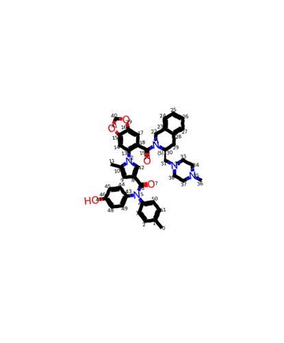 Cc1ccc(N(C(=O)c2cc(C)n(-c3cc4c(cc3C(=O)N3Cc5ccccc5C[C@H]3CN3CCN(C)CC3)OCO4)c2)c2ccc(O)cc2)cc1